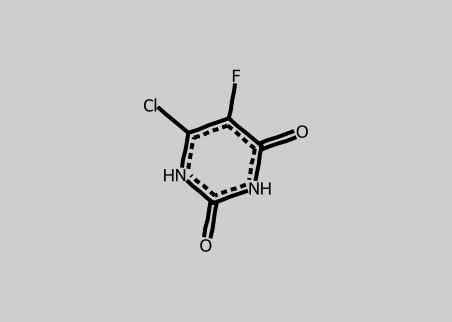 O=c1[nH]c(Cl)c(F)c(=O)[nH]1